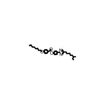 C=CCCCCCCOc1ccc(C(=O)Oc2ccc(-c3ncc(CCCCCC(C)CC)cn3)cc2)cc1